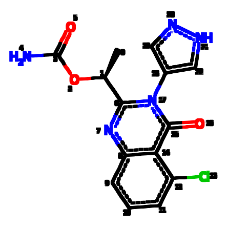 C[C@H](OC(N)=O)c1nc2cccc(Cl)c2c(=O)n1-c1cn[nH]c1